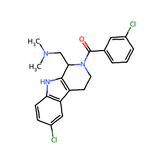 CN(C)CC1c2[nH]c3ccc(Cl)cc3c2CCN1C(=O)c1cccc(Cl)c1